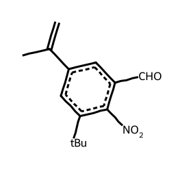 C=C(C)c1cc(C=O)c([N+](=O)[O-])c(C(C)(C)C)c1